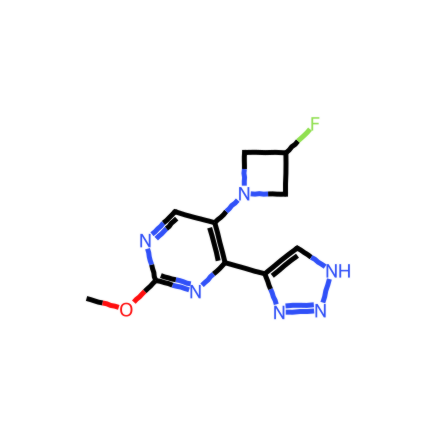 COc1ncc(N2CC(F)C2)c(-c2c[nH]nn2)n1